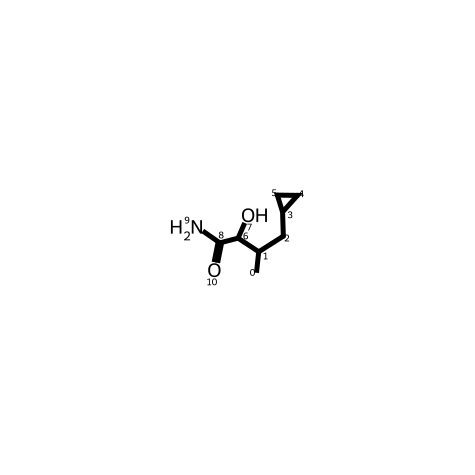 CC(CC1CC1)C(O)C(N)=O